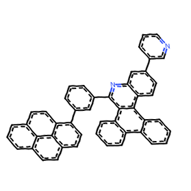 c1cncc(-c2ccc3c(c2)nc(-c2cccc(-c4ccc5ccc6cccc7ccc4c5c67)c2)c2c4ccccc4c4ccccc4c32)c1